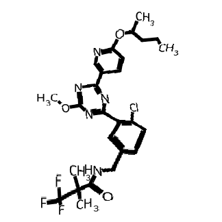 CCCC(C)Oc1ccc(-c2nc(OC)nc(-c3cc(CNC(=O)C(C)(C)C(F)(F)F)ccc3Cl)n2)cn1